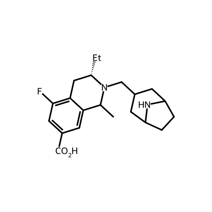 CC[C@H]1Cc2c(F)cc(C(=O)O)cc2C(C)N1CC1CC2CCC(C1)N2